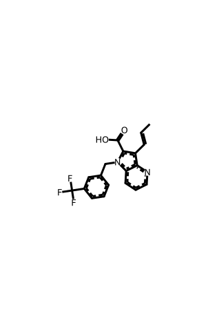 C/C=C/c1c(C(=O)O)n(Cc2cccc(C(F)(F)F)c2)c2cccnc12